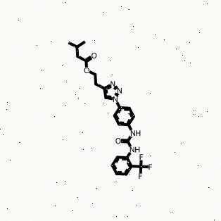 CC(C)CC(=O)OCCc1cn(-c2ccc(NC(=O)Nc3ccccc3C(F)(F)F)cc2)nn1